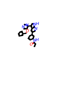 C=CC(=O)Nc1cccc(-c2cnc3[nH]cc(-c4ncncc4OCc4ccccc4)c3c2)c1